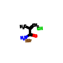 Br.C=C(C)C(N)=O.Cl